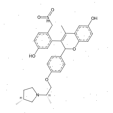 CC1=C(c2cc(O)ccc2C[SH](=O)=O)C(c2ccc(OC[C@H](C)N3CC[C@@H](C)C3)cc2)Oc2ccc(O)cc21